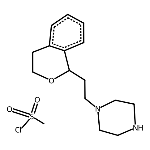 CS(=O)(=O)Cl.c1ccc2c(c1)CCOC2CCN1CCNCC1